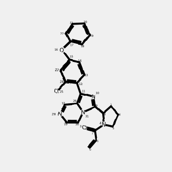 C=CC(=O)N1CCCC1c1nc(-c2ccc(Oc3ccccc3)cc2Cl)c2cnccn12